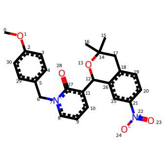 COc1ccc(Cn2cccc(C3OC(C)(C)Cc4ccc([N+](=O)[O-])cc43)c2=O)cc1